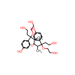 CC(C(=O)C(C)C(CCO)(OCCO)c1ccc(O)cc1)C(CCO)(OCCO)c1ccc(O)cc1